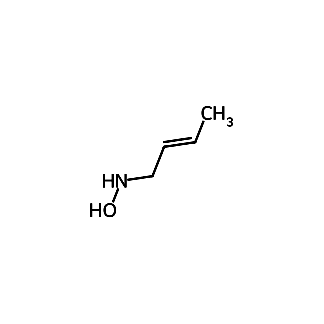 CC=CCNO